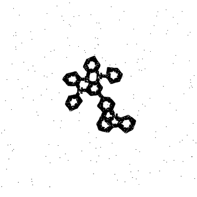 c1ccc(N2c3ccccc3B3c4ccccc4N(c4ccccc4)c4cc(-c5ccc6c(c5)c5cccc7c8ccccc8n6c75)cc2c43)cc1